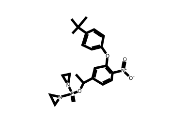 C=P(OC(C)c1ccc([N+](=O)[O-])c(Oc2ccc(C(C)(C)C)cc2)c1)(N1CC1)N1CC1